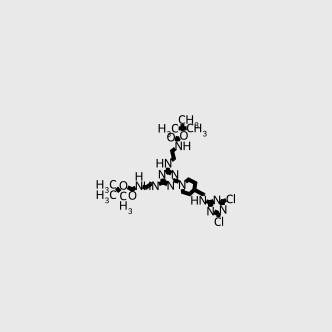 CC(C)(C)OC(=O)NCCNc1nc(NCCNC(=O)OC(C)(C)C)nc(N2CCC(CNc3nc(Cl)nc(Cl)n3)CC2)n1